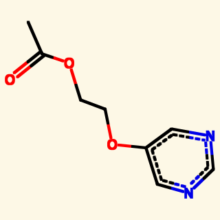 CC(=O)OCCOc1cncnc1